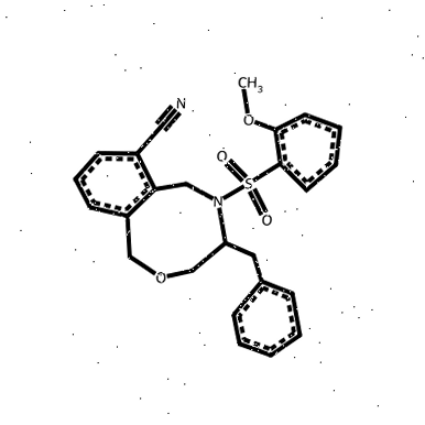 COc1ccccc1S(=O)(=O)N1Cc2c(C#N)cccc2COCC1Cc1ccccc1